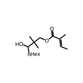 CC=C(C)C(=O)OCC(C)(C)C(O)CCCCCC